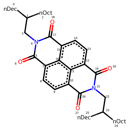 CCCCCCCCCCC(CCCCCCCC)CN1C(=O)c2ccc3c4c(ccc(c24)C1=O)C(=O)N(CC(CCCCCCCC)CCCCCCCCCC)C3=O